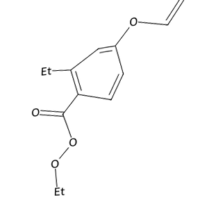 C=COc1ccc(C(=O)OOCC)c(CC)c1